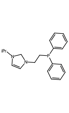 CC(C)N1C=CN(CCP(c2ccccc2)c2ccccc2)C1